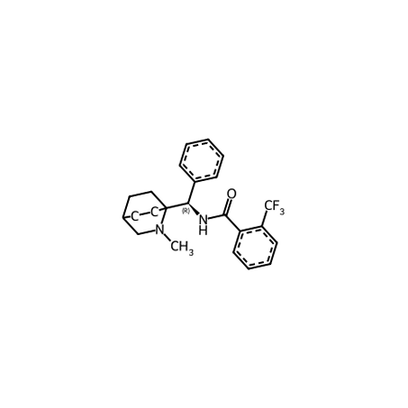 CN1CC2CCC1([C@H](NC(=O)c1ccccc1C(F)(F)F)c1ccccc1)CC2